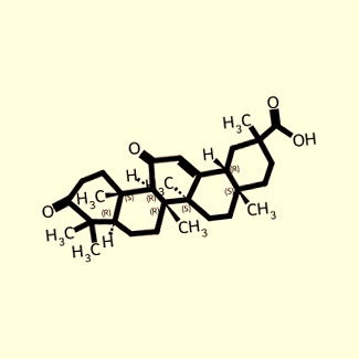 CC1(C(=O)O)CC[C@]2(C)CC[C@]3(C)C(=CC(=O)[C@@H]4[C@@]5(C)CCC(=O)C(C)(C)[C@@H]5CC[C@]43C)[C@@H]2C1